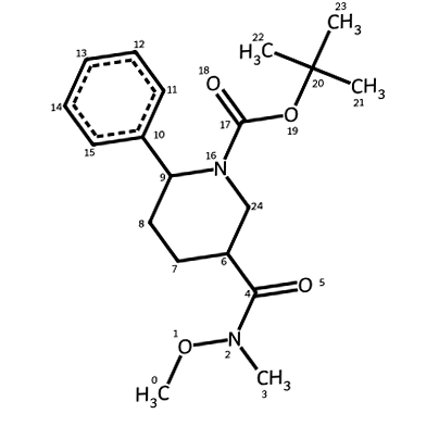 CON(C)C(=O)C1CCC(c2ccccc2)N(C(=O)OC(C)(C)C)C1